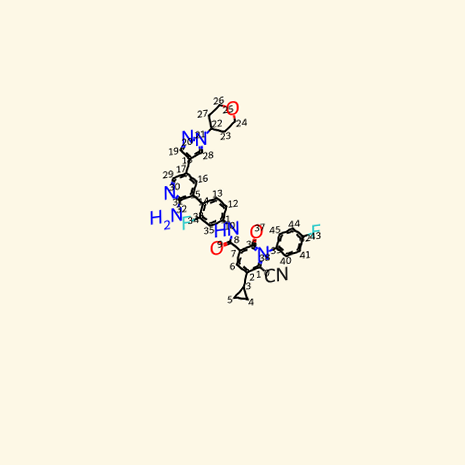 N#Cc1c(C2CC2)cc(C(=O)Nc2ccc(-c3cc(-c4cnn(C5CCOCC5)c4)cnc3N)c(F)c2)c(=O)n1-c1ccc(F)cc1